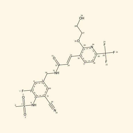 CS(=O)(=O)Nc1c(F)cc(CNC(=O)/C=C/c2ccc(C(F)(F)F)nc2OCCO)cc1C#N